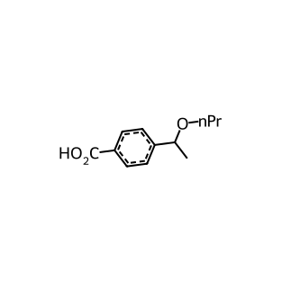 CCCOC(C)c1ccc(C(=O)O)cc1